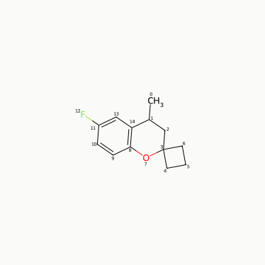 CC1CC2(CCC2)Oc2ccc(F)cc21